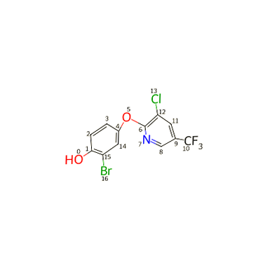 Oc1ccc(Oc2ncc(C(F)(F)F)cc2Cl)cc1Br